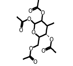 CC(=O)OCC1OC(OC(C)=O)C(OC(C)=O)C(C)[C@@H]1OC(C)=O